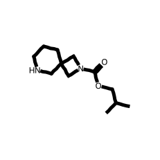 CC(C)COC(=O)N1CC2(CCCNC2)C1